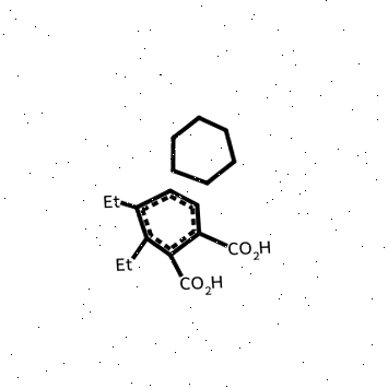 C1CCCCC1.CCc1ccc(C(=O)O)c(C(=O)O)c1CC